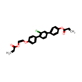 C=CC(=O)O/C=C\Oc1ccc(-c2ccc(-c3ccc(OC(=O)C=C)cc3)cc2F)cc1